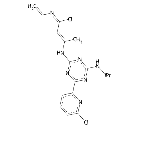 C=C/N=C(Cl)\C=C(/C)Nc1nc(NC(C)C)nc(-c2cccc(Cl)n2)n1